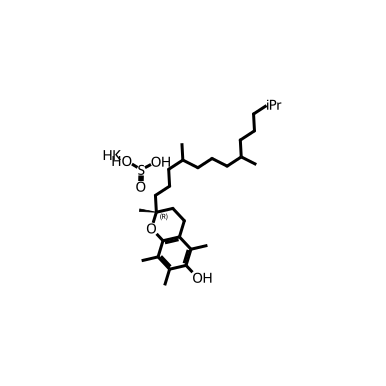 Cc1c(C)c2c(c(C)c1O)CC[C@@](C)(CCCC(C)CCCC(C)CCCC(C)C)O2.O=S(O)O.[KH]